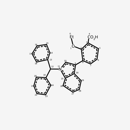 CCOc1c(C(=O)O)cccc1-c1cn(C(c2ccccc2)c2ccccc2)c2ccccc12